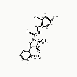 Cc1ncccc1N1CC(C(=O)NCc2ccc(F)cc2Cl)N(C)C1=O